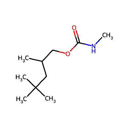 CNC(=O)OCC(C)CC(C)(C)C